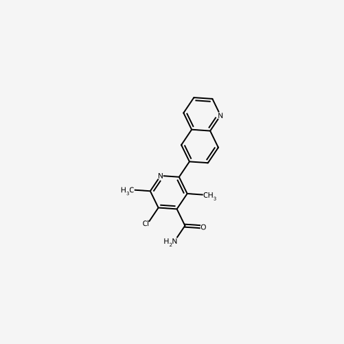 Cc1nc(-c2ccc3ncccc3c2)c(C)c(C(N)=O)c1Cl